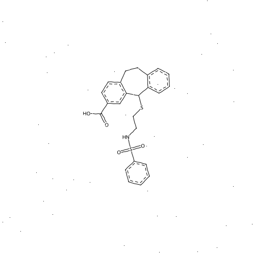 O=C(O)c1ccc2c(c1)C(SCCNS(=O)(=O)c1ccccc1)c1ccccc1CC2